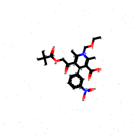 CCOCN1C(C)=C(C(=O)O)[C@@H](c2cccc([N+](=O)[O-])c2)C(C(=O)COC(=O)C(C)(C)C)=C1C